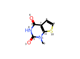 Cn1c(=O)[nH]c(=O)c2ccsc21